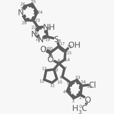 COc1ccc(CCC2(C3CCCC3)CC(O)=C(Sc3nnc(-c4cccnc4)[nH]3)C(=O)O2)cc1Cl